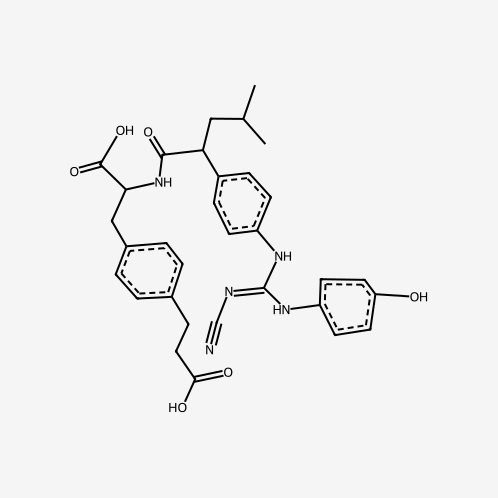 CC(C)CC(C(=O)NC(Cc1ccc(CCC(=O)O)cc1)C(=O)O)c1ccc(NC(=NC#N)Nc2ccc(O)cc2)cc1